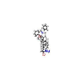 C[C@]12CCC(=O)NC1=CC[C@@H]1[C@H]2CC[C@]2(C)C(C(=O)N(Cc3ccccc3)Cc3ccccc3)CC[C@@H]12